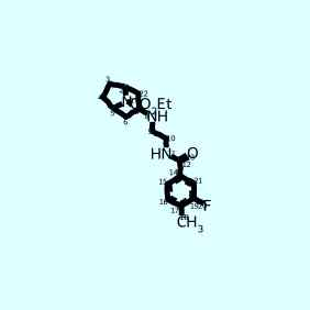 CCOC(=O)N1C2CCC1CC(NCCNC(=O)c1ccc(C)c(F)c1)C2